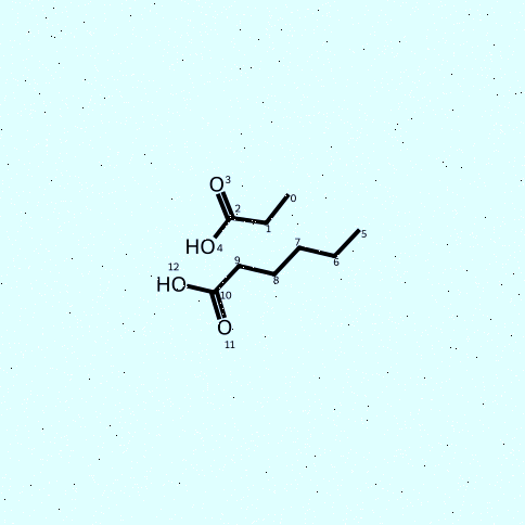 CCC(=O)O.CCCCCC(=O)O